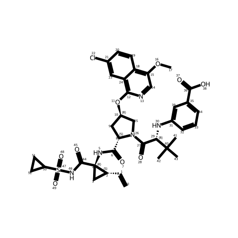 C=C[C@@H]1C[C@]1(NC(=O)[C@@H]1C[C@@H](Oc2ncc(OC)c3ccc(Cl)cc23)CN1C(=O)[C@H](Nc1cccc(C(=O)O)c1)C(C)(C)C)C(=O)NS(=O)(=O)C1CC1